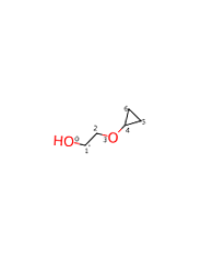 O[CH]COC1CC1